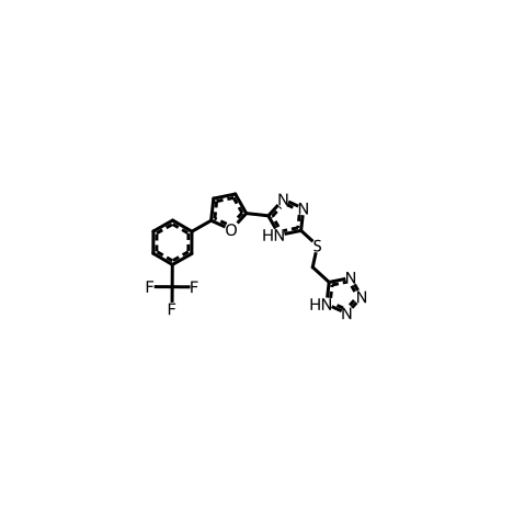 FC(F)(F)c1cccc(-c2ccc(-c3nnc(SCc4nnn[nH]4)[nH]3)o2)c1